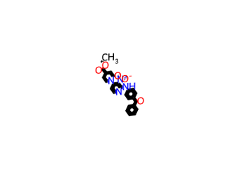 CCOC(=O)C1CCN(c2ccnc(Nc3ccc(C(=O)c4ccccc4)cc3)c2[N+](=O)[O-])CC1